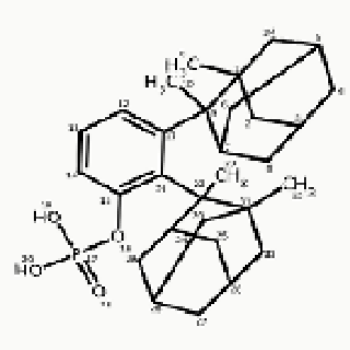 CC12CC3CC(CC(C3)C1(C)c1cccc(OP(=O)(O)O)c1C1(C)C3CC4CC(C3)CC1(C)C4)C2